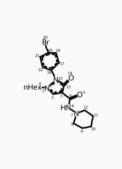 CCCCCCn1cc(C(=O)NN2CCCCC2)c(=O)n1-c1ccc(Br)cc1